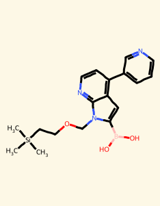 C[Si](C)(C)CCOCn1c(B(O)O)cc2c(-c3cccnc3)ccnc21